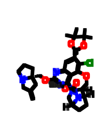 C=C1CN2CCC[C@@]2(COc2nc3c4c(c(Cl)c(B5OC(C)(C)C(C)(C)O5)cc4n2)OC[C@@H]2[C@@H]4CC[C@H](CN32)N4C(=O)OC(C)(C)C)C1